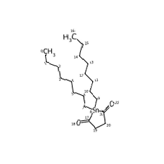 CCCCCCC[CH2][Sn]1([CH2]CCCCCCC)[C](=O)CC[C]1=O